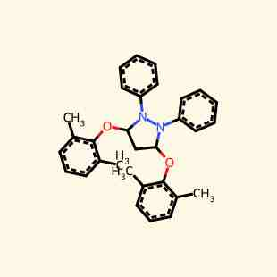 Cc1cccc(C)c1OC1CC(Oc2c(C)cccc2C)N(c2ccccc2)N1c1ccccc1